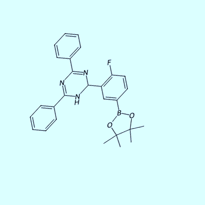 CC1(C)OB(c2ccc(F)c(C3N=C(c4ccccc4)N=C(c4ccccc4)N3)c2)OC1(C)C